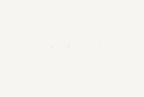 C1CCOC1.C1CCOC1.Cc1ccccc1[N](C)[Zr+2][N](C)c1ccccc1C.[F-].[F-]